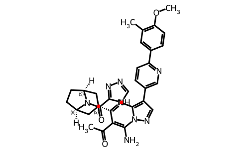 COc1ccc(-c2ccc(-c3cnn4c(N)c(C(C)=O)c([C@@H]5C[C@H]6CC[C@@H](C5)N6C(=O)c5nnc[nH]5)nc34)cn2)cc1C